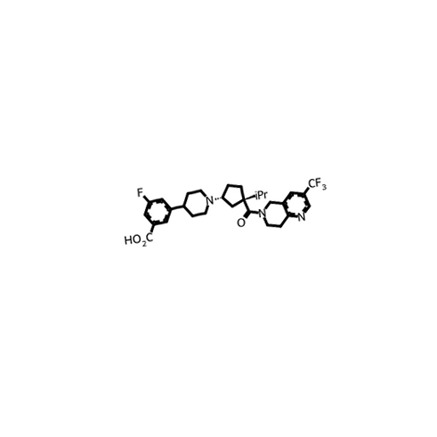 CC(C)[C@]1(C(=O)N2CCc3ncc(C(F)(F)F)cc3C2)CC[C@@H](N2CCC(c3cc(F)cc(C(=O)O)c3)CC2)C1